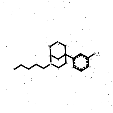 CCCCCN1CCC2(c3cccc(N)c3)CCCC1C2